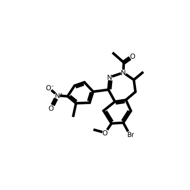 COc1cc2c(cc1Br)CC(C)N(C(C)=O)N=C2c1ccc([N+](=O)[O-])c(C)c1